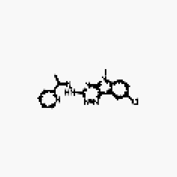 CC(=NNc1nnc2c(n1)[nH]c1ccc(Cl)cc12)c1ccccn1